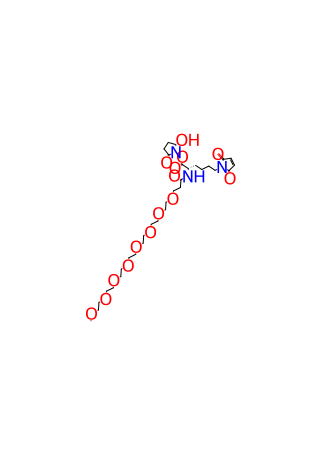 COCCOCCOCCOCCOCCOCCOCCOCCC(=O)N[C@@H](CCCCN1C(=O)C=CC1=O)C(=O)ON1C(=O)CCC1O